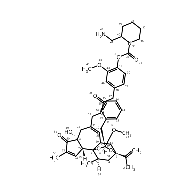 C=C(C)[C@@]12C[C@@H](C)[C@@]3(O[C@](Cc4ccccc4)(OC)O1)[C@@H](C=C(COC(=O)Cc1ccc(OC(=O)N4CCCCC4CN)c(OC)c1)C[C@]1(O)C(=O)C(C)=C[C@@H]31)C2